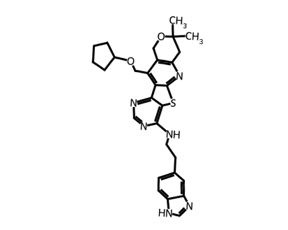 CC1(C)Cc2nc3sc4c(NCCc5ccc6[nH]cnc6c5)ncnc4c3c(COC3CCCC3)c2CO1